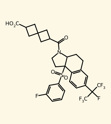 O=C(O)C1CC2(C1)CC(C(=O)N1CCC3(S(=O)(=O)c4cccc(F)c4)c4ccc(C(F)(C(F)(F)F)C(F)(F)F)cc4CCC13)C2